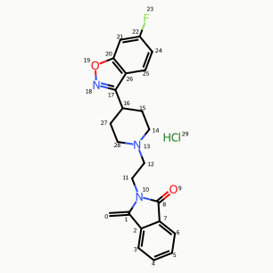 C=C1c2ccccc2C(=O)N1CCN1CCC(c2noc3cc(F)ccc23)CC1.Cl